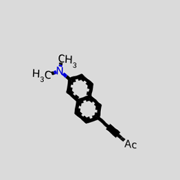 CC(=O)C#Cc1ccc2cc(N(C)C)ccc2c1